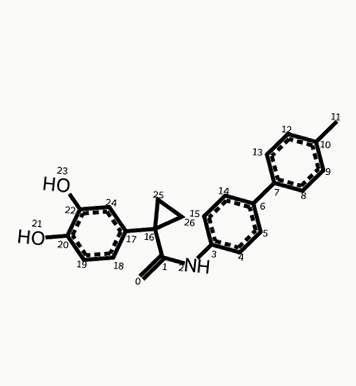 C=C(Nc1ccc(-c2ccc(C)cc2)cc1)C1(c2ccc(O)c(O)c2)CC1